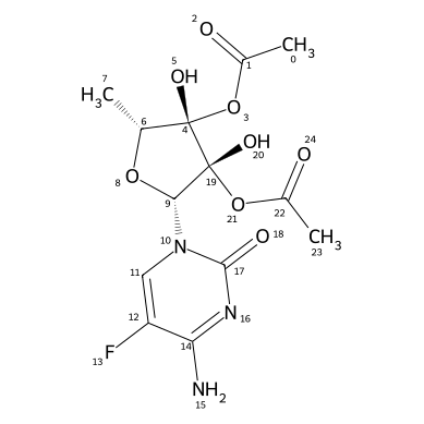 CC(=O)O[C@@]1(O)[C@@H](C)O[C@@H](n2cc(F)c(N)nc2=O)[C@@]1(O)OC(C)=O